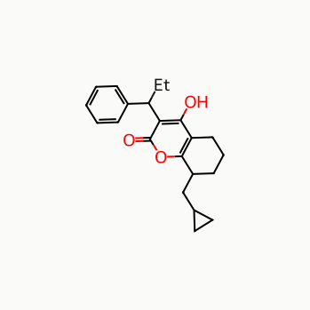 CCC(c1ccccc1)c1c(O)c2c(oc1=O)C(CC1CC1)CCC2